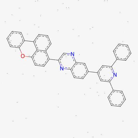 c1ccc(-c2cc(-c3ccc4nc(-c5ccc6c7c(cccc57)-c5ccccc5O6)cnc4c3)cc(-c3ccccc3)n2)cc1